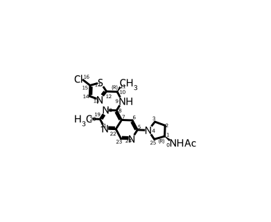 CC(=O)N[C@@H]1CCN(c2cc3c(N[C@H](C)c4ncc(Cl)s4)nc(C)nc3cn2)C1